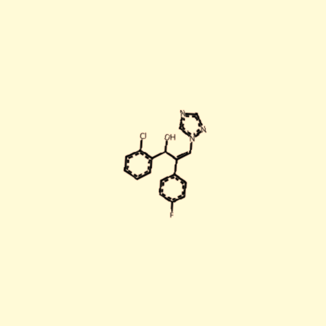 OC(C(=Cn1cncn1)c1ccc(F)cc1)c1ccccc1Cl